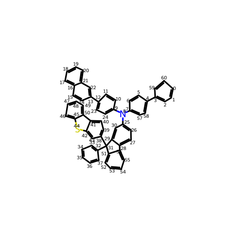 c1ccc(-c2ccc(N(c3ccc(-c4ccc5ccccc5c4)cc3)c3ccc4c(c3)C(c3ccccc3)(c3ccc5c(c3)sc3ccccc35)c3ccccc3-4)cc2)cc1